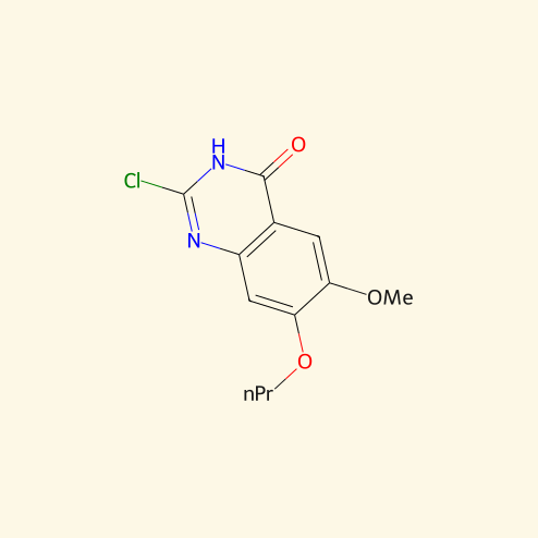 CCCOc1cc2nc(Cl)[nH]c(=O)c2cc1OC